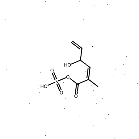 C=CC(O)C=C(C)C(=O)OS(=O)(=O)O